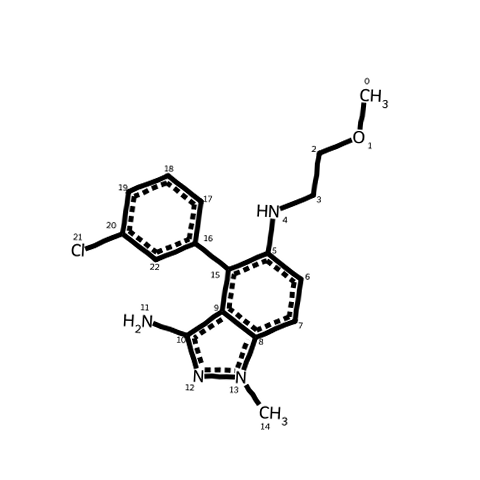 COCCNc1ccc2c(c(N)nn2C)c1-c1cccc(Cl)c1